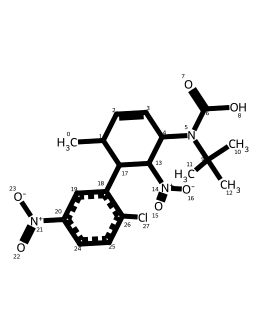 CC1C=CC(N(C(=O)O)C(C)(C)C)C([N+](=O)[O-])C1c1cc([N+](=O)[O-])ccc1Cl